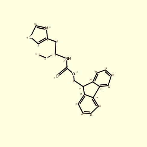 O=C(N[C@H](CI)Cc1cscn1)OCC1c2ccccc2-c2ccccc21